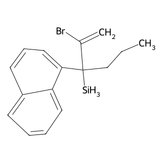 C=C(Br)C([SiH3])(CCC)c1cccc2ccccc12